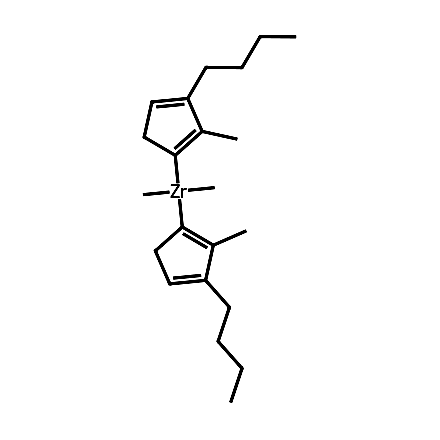 CCCCC1=CC[C]([Zr]([CH3])([CH3])[C]2=C(C)C(CCCC)=CC2)=C1C